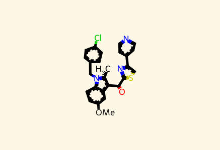 COc1ccc2c(c1)c(C(=O)c1nc(-c3ccncc3)cs1)c(C)n2Cc1ccc(Cl)cc1